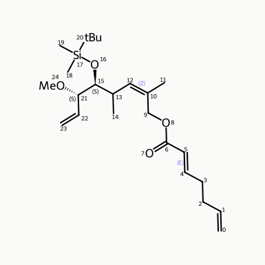 C=CCC/C=C/C(=O)OC/C(C)=C\C(C)[C@H](O[Si](C)(C)C(C)(C)C)[C@H](C=C)OC